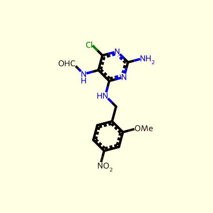 COc1cc([N+](=O)[O-])ccc1CNc1nc(N)nc(Cl)c1NC=O